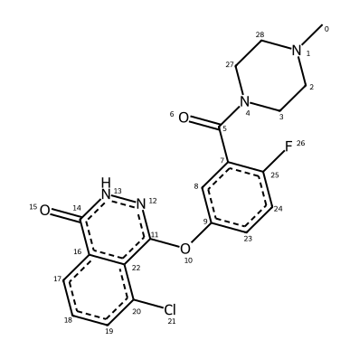 CN1CCN(C(=O)c2cc(Oc3n[nH]c(=O)c4cccc(Cl)c34)ccc2F)CC1